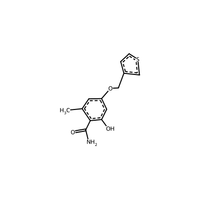 Cc1cc(OCc2ccsc2)cc(O)c1C(N)=O